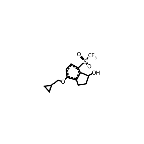 O=S(=O)(c1ccc(OCC2CC2)c2c1C(O)CC2)C(F)(F)F